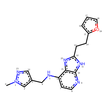 Cn1cc(CNc2ccnc3[nH]c(CCc4ccco4)nc23)cn1